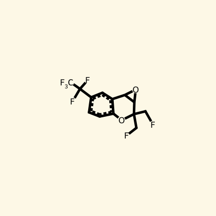 FCC1(CF)Oc2ccc(C(F)(F)C(F)(F)F)cc2C2OC21